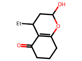 CCC1CC(O)OC2=C1C(=O)CCC2